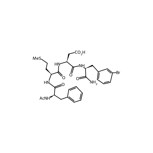 CSCC[C@H](NC(=O)[C@@H](Cc1ccccc1)NC(C)=O)C(=O)N[C@@H](CC(=O)O)C(=O)N[C@@H](Cc1cccc(Br)c1)C(N)=O